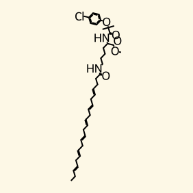 CCC=CCC=CCC=CCC=CCC=CCC=CCCC(=O)NCCCCC(NC(=O)C(C)(C)Oc1ccc(Cl)cc1)C(=O)OC